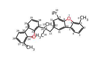 Cc1cccc2c1oc1c(C(C)C)cc(C[Si](C)(C)c3cccc4c3oc3c(C)cccc34)cc12